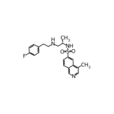 Cc1cncc2ccc(S(=O)(=O)N[C@H](C)CNCCc3ccc(F)cc3)cc12